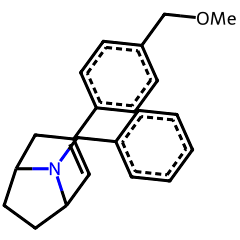 COCc1ccc(C2=CC3CCC(C2)N3Cc2ccccc2)cc1